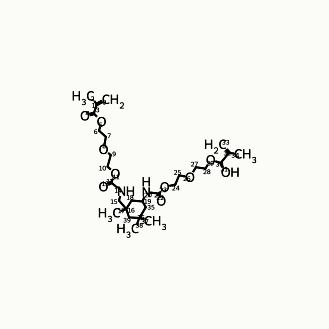 C=C(C)C(=O)OCCOCCOC(=O)NCC1(C)CC(NC(=O)OCCOCCOC(O)C(=C)C)CC(C)(C)C1